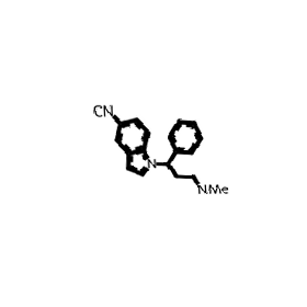 [C-]#[N+]c1ccc2c(ccn2C(CCNC)c2ccccc2)c1